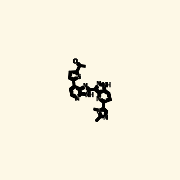 CC(=O)c1ccc(-c2ccnc3[nH]c(-c4n[nH]c5ccc(-c6cnc(C)n6C)nc45)nc23)s1